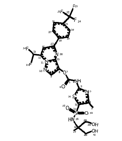 Cc1nc(NC(=O)Oc2cnn3c(C(F)F)cc(-c4ccc(C(F)(F)F)cc4)nc23)sc1S(=O)(=O)NC(C)(CO)CO